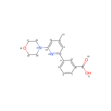 Cc1cc(-c2cccc(C(=O)O)c2)nc(N2CCOCC2)c1